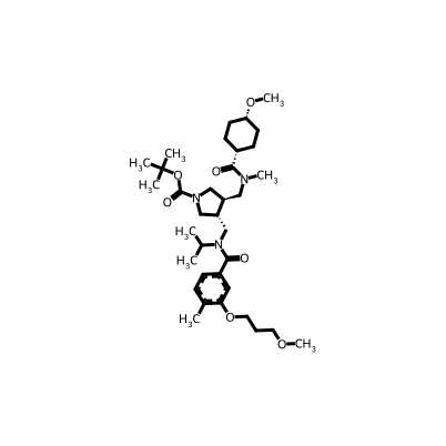 COCCCOc1cc(C(=O)N(C[C@@H]2CN(C(=O)OC(C)(C)C)C[C@H]2CN(C)C(=O)[C@H]2CC[C@@H](OC)CC2)C(C)C)ccc1C